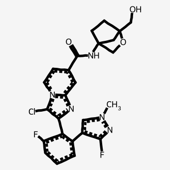 Cn1cc(-c2cccc(F)c2-c2nc3cc(C(=O)NC45CCC(CO)(C4)OC5)ccn3c2Cl)c(F)n1